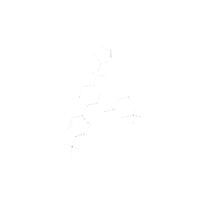 CC1(C)CN(CC2CN(S(=O)(=O)c3cccs3)CCN2c2ccc(C(C)(O)C(F)(F)F)cc2)CCO1